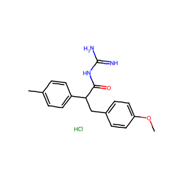 COc1ccc(CC(C(=O)NC(=N)N)c2ccc(C)cc2)cc1.Cl